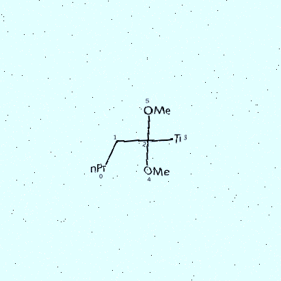 CCCC[C]([Ti])(OC)OC